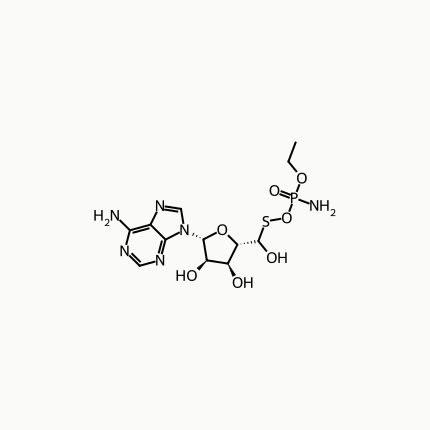 CCOP(N)(=O)OSC(O)[C@H]1O[C@@H](n2cnc3c(N)ncnc32)[C@H](O)[C@@H]1O